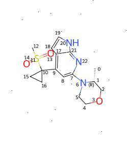 C[C@@H]1COCCN1c1cc(C2(S(C)(=O)=O)CC2)c2cc[nH]c2n1